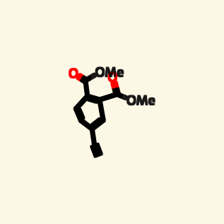 C#Cc1ccc(C(=O)OC)c(C(=O)OC)c1